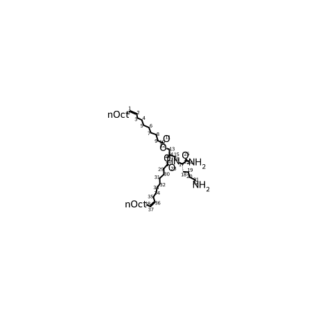 CCCCCCCC/C=C\CCCCCCCC(=O)OCC(CN[C@@H](CCCCN)C(N)=O)OC(=O)CCCCCCC/C=C\CCCCCCCC